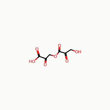 O=C(O)C(=O)COC(=O)C(=O)CO